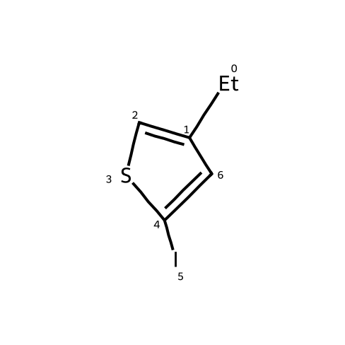 CCc1csc(I)c1